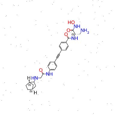 NC[C@H](NC(=O)c1ccc(C#Cc2ccc(NC(=O)CNC3C[C@H]4CC[C@H]3C4)cc2)cc1)C(=O)NO